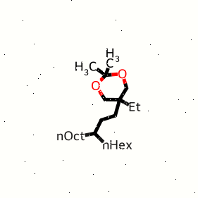 CCCCCCCCC(CCCCCC)CCC1(CC)COC(C)(C)OC1